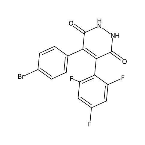 O=c1[nH][nH]c(=O)c(-c2c(F)cc(F)cc2F)c1-c1ccc(Br)cc1